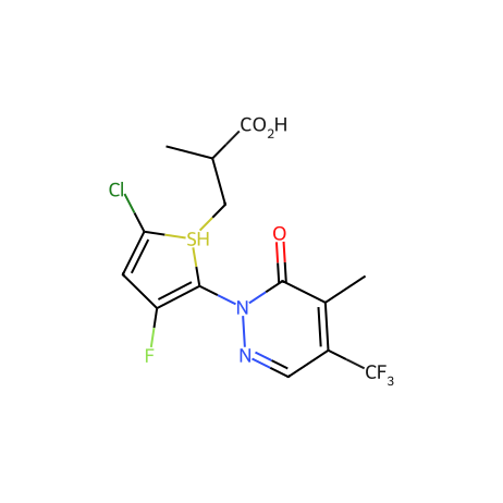 Cc1c(C(F)(F)F)cnn(C2=C(F)C=C(Cl)[SH]2CC(C)C(=O)O)c1=O